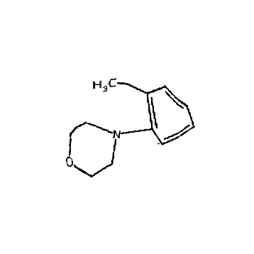 Cc1ccc[c]c1N1CCOCC1